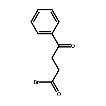 O=C(Br)CCC(=O)c1ccccc1